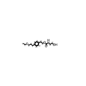 CCOCCCc1ccc(CCOC(=O)NCCO)cc1